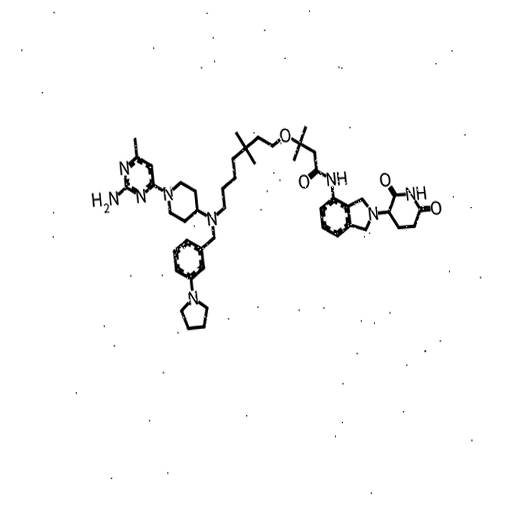 Cc1cc(N2CCC(N(CCCCC(C)(C)CCOC(C)(C)CC(=O)Nc3cccc4c3CN(C3CCC(=O)NC3=O)C4)Cc3cccc(N4CCCC4)c3)CC2)nc(N)n1